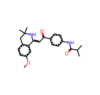 COc1ccc2c(c1)C(=CC(=O)c1ccc(NC(=O)C(C)C)cc1)NC(C)(C)C2